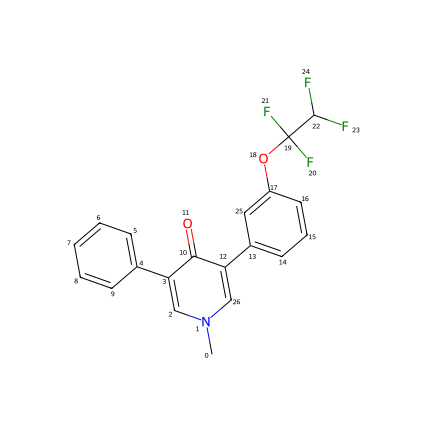 Cn1cc(-c2ccccc2)c(=O)c(-c2cccc(OC(F)(F)C(F)F)c2)c1